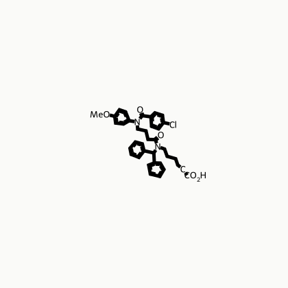 COc1ccc(N(CCCC(=O)N(CCCCCC(=O)O)C(c2ccccc2)c2ccccc2)C(=O)c2ccc(Cl)cc2)cc1